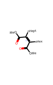 CCCCCCC/C(C(=O)OC)=C(\CCCCCC)C(=O)OC